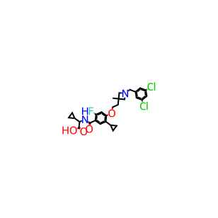 CC1(CCOc2cc(F)c(C(=O)NC(C(=O)O)C3CC3)cc2C2CC2)CN(Cc2cc(Cl)cc(Cl)c2)C1